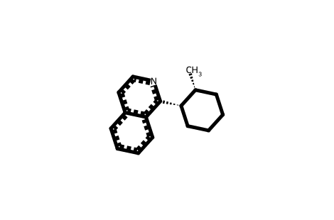 C[C@@H]1CCCC[C@@H]1c1nccc2ccccc12